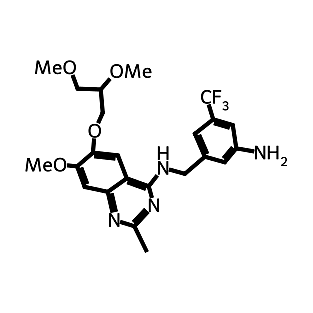 COCC(COc1cc2c(NCc3cc(N)cc(C(F)(F)F)c3)nc(C)nc2cc1OC)OC